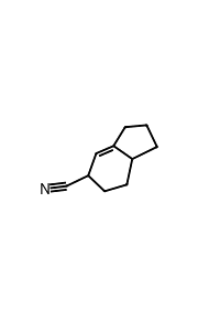 N#CC1C=C2CCCC2CC1